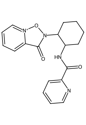 O=C(NC1CCCCC1n1o[n+]2ccccc2c1=O)c1ccccn1